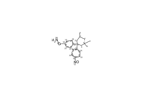 CC1CC(C)(C)CC(c2ccc(N=O)cc2)(c2ccc(ON)cc2)C1